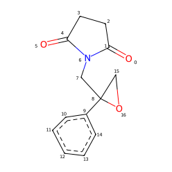 O=C1CCC(=O)N1CC1(c2ccccc2)CO1